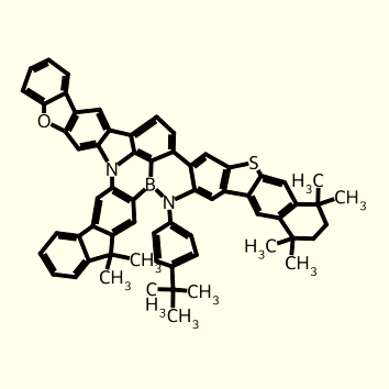 CC(C)(C)c1ccc(N2B3c4cc5c(cc4-n4c6cc7oc8ccccc8c7cc6c6ccc(c3c64)-c3cc4sc6cc7c(cc6c4cc32)C(C)(C)CCC7(C)C)-c2ccccc2C5(C)C)cc1